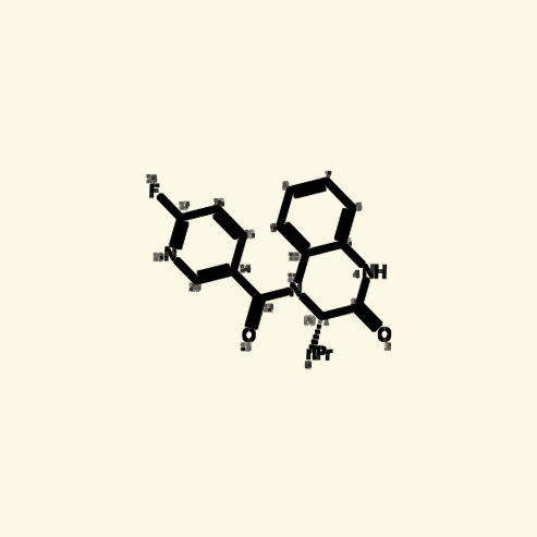 CCC[C@H]1C(=O)Nc2ccccc2N1C(=O)c1ccc(F)nc1